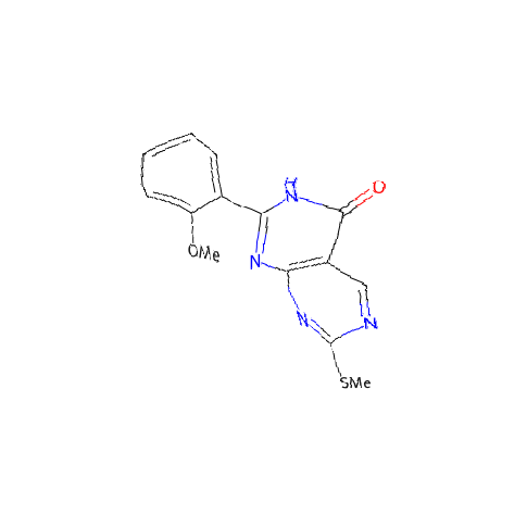 COc1ccccc1-c1nc2nc(SC)ncc2c(=O)[nH]1